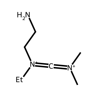 CC[N+](=C=[N+](C)C)CCN